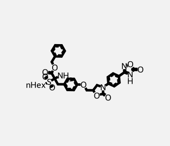 CCCCCCS(=O)(=O)C(N)(Cc1ccc(OCC2CN(c3ccc(-c4noc(=O)[nH]4)cc3)C(=O)O2)cc1)C(=O)OCc1ccccc1